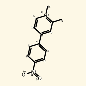 Cc1cc(-c2ccc([N+](=O)[O-])cc2)cc[n+]1C